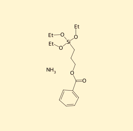 CCO[Si](CCCOC(=O)c1ccccc1)(OCC)OCC.N